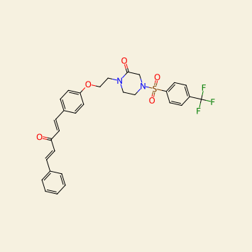 O=C(C=Cc1ccccc1)C=Cc1ccc(OCCN2CCN(S(=O)(=O)c3ccc(C(F)(F)F)cc3)CC2=O)cc1